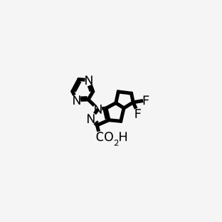 O=C(O)c1nn(-c2cnccn2)c2c1CC1C2CCC1(F)F